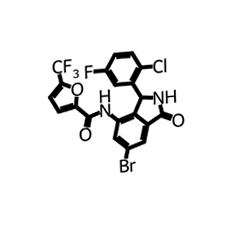 O=C(Nc1cc(Br)cc2c1C(c1cc(F)ccc1Cl)NC2=O)c1ccc(C(F)(F)F)o1